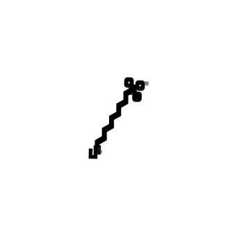 O=S(=O)([O-])CCCCCCCCCF.[Li+]